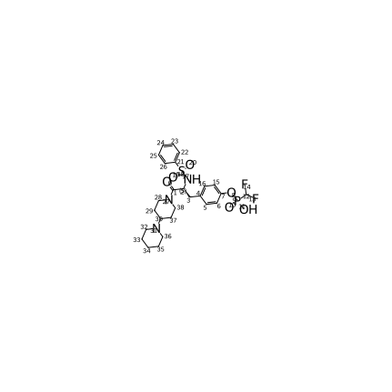 O=C([C@H](Cc1ccc(OP(=O)(O)C(F)F)cc1)NS(=O)(=O)c1ccccc1)N1CCC(N2CCCCC2)CC1